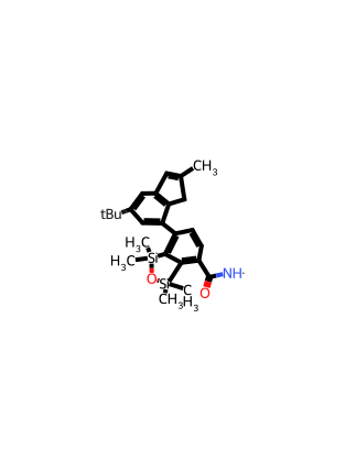 CC1=Cc2cc(C(C)(C)C)cc(-c3ccc(C([NH])=O)c4c3[Si](C)(C)O[Si]4(C)C)c2C1